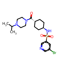 CC(C)N1CCN(C(=O)[C@H]2CC[C@H](NS(=O)(=O)c3cncc(Br)c3)CC2)CC1